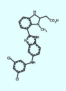 CN1c2c(cccc2-c2nc3cc(Nc4cc(Cl)cc(Cl)c4)ccc3[nH]2)NC1CC(=O)O